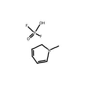 CN1C=CC=CC1.O=P(O)(F)F